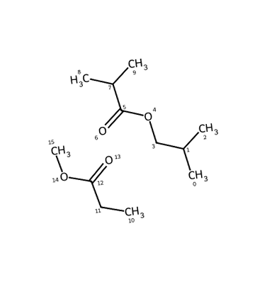 CC(C)COC(=O)C(C)C.CCC(=O)OC